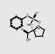 O=C(O)[C@]1(NP(=O)(Cl)Oc2ccccc2)CCCN1